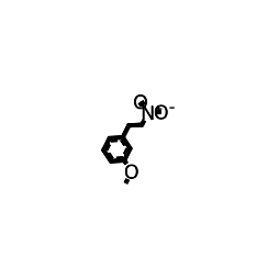 COc1cccc(CC[N+](=O)[O-])c1